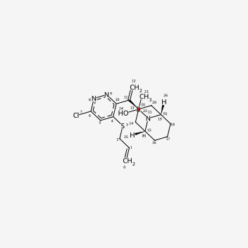 C=CCSc1cc(Cl)nnc1C(=C)[C@@H]1C[C@H]2CCC[C@@H](C1)N2B(C)O